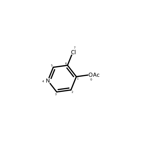 CC(=O)Oc1ccncc1Cl